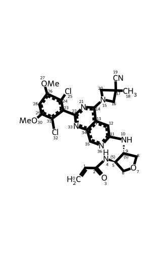 C=CC(=O)N[C@@H]1COC[C@H]1Nc1cc2c(N3CC(C)(C#N)C3)nc(-c3c(Cl)c(OC)cc(OC)c3Cl)nc2cn1